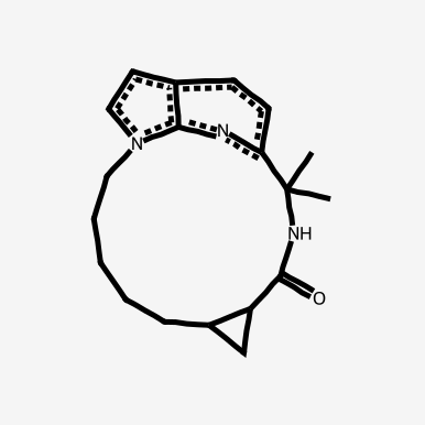 CC1(C)NC(=O)C2CC2CCCCCn2ccc3ccc1nc32